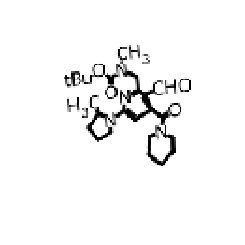 CC1CCCN1c1cc(C(=O)N2CCCCC2)c(C=O)c(CN(C)C(=O)OC(C)(C)C)n1